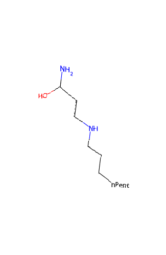 CCCCCCCCNCCC(N)O